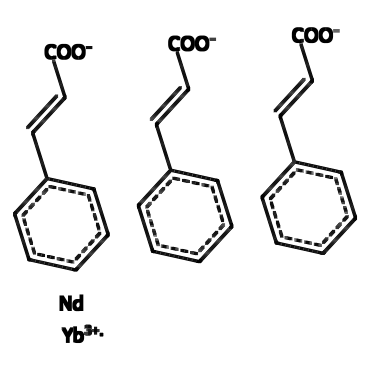 O=C([O-])C=Cc1ccccc1.O=C([O-])C=Cc1ccccc1.O=C([O-])C=Cc1ccccc1.[Nd].[Yb+3]